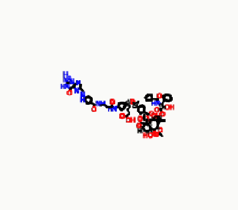 CC(=O)C[C@@]12CO[C@@H]1C[C@H](O)[C@@]1(C)C(=O)[C@H](OC(C)=O)C3=C(C)[C@@H](OC(=O)[C@H](O)[C@@H](NC(=O)c4ccccc4)c4ccccc4)C[C@@](O)([C@@H](OC(=O)c4ccc([Si](C)(C)O[Si](C)(CCCC(=O)O)c5ccc(NC(=O)CCCNC(=O)c6ccc(NCc7cnc8nc(N)[nH]c(=O)c8n7)cc6)cc5)cc4)[C@H]21)C3(C)C